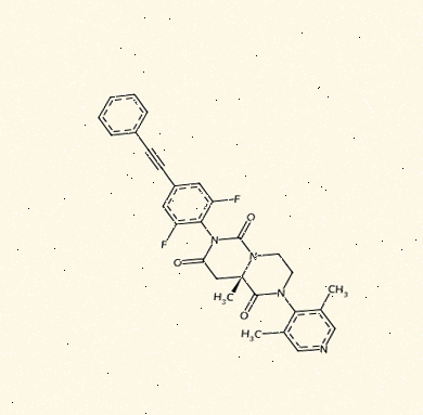 Cc1cncc(C)c1N1CCN2C(=O)N(c3c(F)cc(C#Cc4ccccc4)cc3F)C(=O)C[C@@]2(C)C1=O